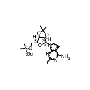 CC1(C)O[C@@H]2[C@H](O1)[C@@H](CO[Si](C)(C)C(C)(C)C)O[C@H]2n1ccc2c(N)nc(I)nc21